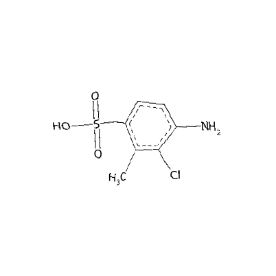 Cc1c(S(=O)(=O)O)ccc(N)c1Cl